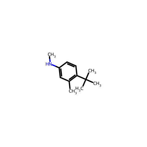 CNc1ccc(C(C)(C)C)c(C)c1